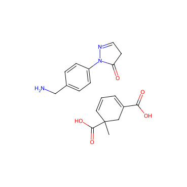 CC1(C(=O)O)C=CC=C(C(=O)O)C1.NCc1ccc(N2N=CCC2=O)cc1